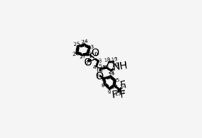 O=S(=O)(CC[C@H](Oc1ccc(C(F)(F)F)cc1)[C@H]1CCNC1)c1ccccc1